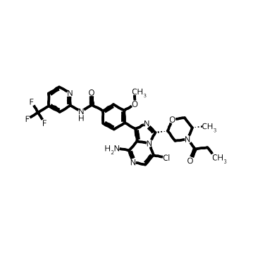 CCC(=O)N1C[C@H](c2nc(-c3ccc(C(=O)Nc4cc(C(F)(F)F)ccn4)cc3OC)c3c(N)ncc(Cl)n23)OC[C@@H]1C